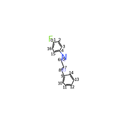 Fc1ccc(/N=C/C=C/c2ccccc2)cc1